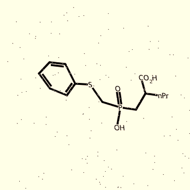 CCCC(CP(=O)(O)CSc1ccccc1)C(=O)O